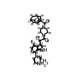 C=NN(/C=C\N)c1ncc(F)c2c(C(=O)C(=O)N3CCN(C(=O)C45CC6CC(CC4C6)C5)CC3)c[nH]c12